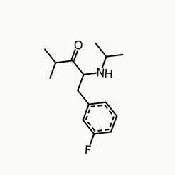 CC(C)NC(Cc1cccc(F)c1)C(=O)C(C)C